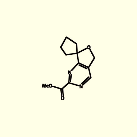 COC(=O)c1ncc2c(n1)C1(CCCC1)OC2